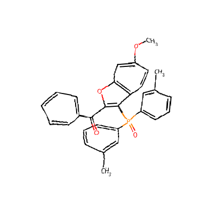 COc1ccc2c(P(=O)(c3cccc(C)c3)c3cccc(C)c3)c(C(=O)c3ccccc3)oc2c1